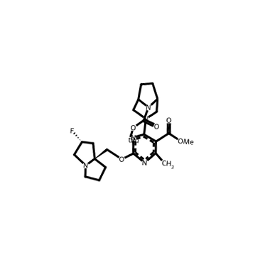 COC(=O)c1c(C)nc(OC[C@@]23CCCN2C[C@H](F)C3)nc1N1CC2CCC(C1)N2C(=O)OC(C)(C)C